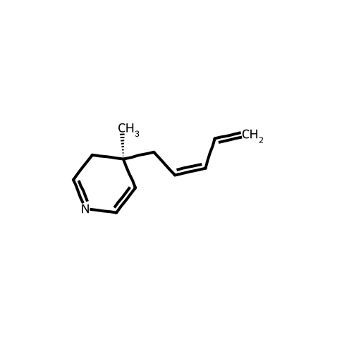 C=C/C=C\C[C@@]1(C)C=CN=CC1